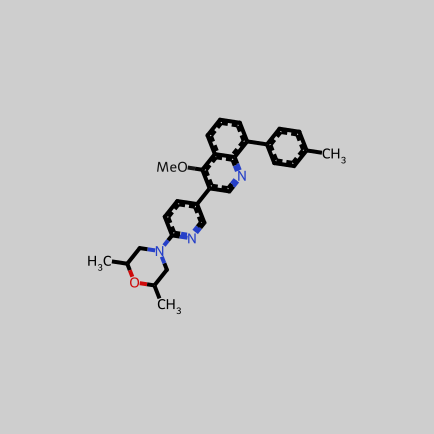 COc1c(-c2ccc(N3CC(C)OC(C)C3)nc2)cnc2c(-c3ccc(C)cc3)cccc12